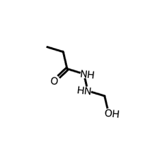 CCC(=O)NNCO